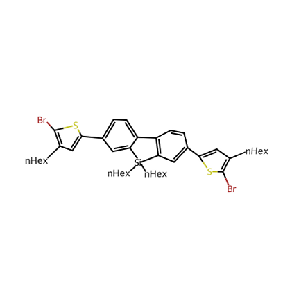 CCCCCCc1cc(-c2ccc3c(c2)[Si](CCCCCC)(CCCCCC)c2cc(-c4cc(CCCCCC)c(Br)s4)ccc2-3)sc1Br